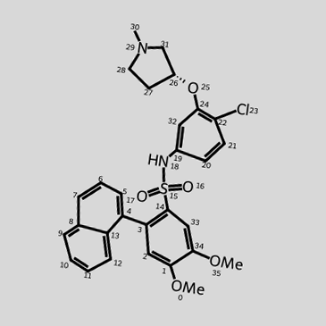 COc1cc(-c2cccc3ccccc23)c(S(=O)(=O)Nc2ccc(Cl)c(O[C@@H]3CCN(C)C3)c2)cc1OC